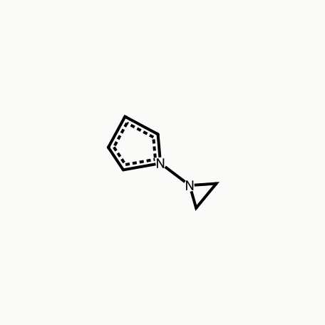 c1ccn(N2CC2)c1